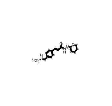 O=C(O)NCc1ccc(C=CC(=O)NOC2CCCCO2)cc1